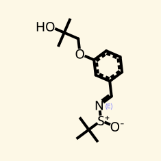 CC(C)(O)COc1cccc(/C=N/[S+]([O-])C(C)(C)C)c1